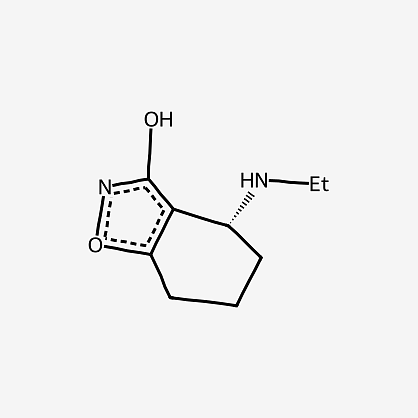 CCN[C@@H]1CCCc2onc(O)c21